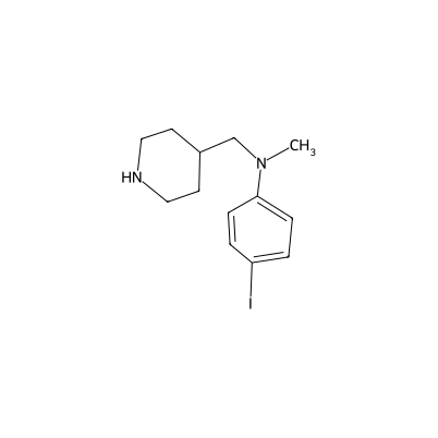 CN(CC1CCNCC1)c1ccc(I)cc1